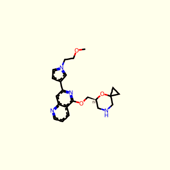 COCCn1ccc(-c2cc3ncccc3c(OC[C@@H]3CNCC4(CC4)O3)n2)c1